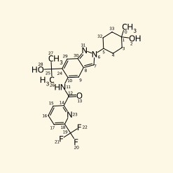 CC1(O)CCC(n2cc3cc(NC(=O)c4cccc(C(F)(F)F)n4)c(C(C)(C)O)cc3n2)CC1